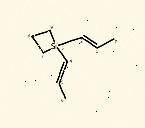 CC=C[Si]1(C=CC)CCC1